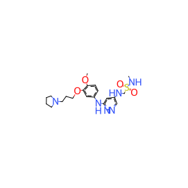 CNS(=O)(=O)CNc1cnnc(Nc2ccc(OC)c(OCCCN3CCCC3)c2)c1